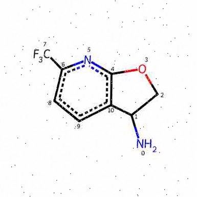 NC1COc2nc(C(F)(F)F)ccc21